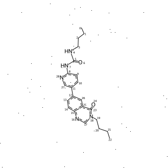 CCCCNC(=O)Nc1ccc(-c2ccc3ncn(CCCC)c(=O)c3c2)cn1